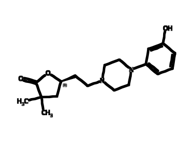 CC1(C)C[C@H](CCN2CCN(c3cccc(O)c3)CC2)OC1=O